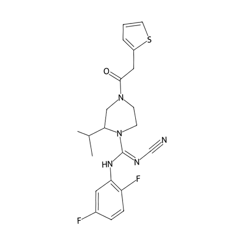 CC(C)C1CN(C(=O)Cc2cccs2)CCN1/C(=N\C#N)Nc1cc(F)ccc1F